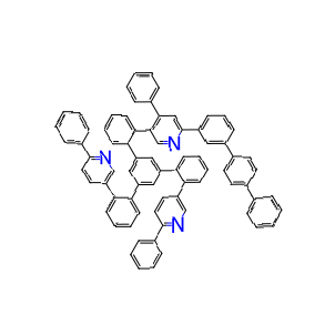 c1ccc(-c2ccc(-c3cccc(-c4cc(-c5ccccc5)c(-c5ccccc5-c5cc(-c6ccccc6-c6ccc(-c7ccccc7)nc6)cc(-c6ccccc6-c6ccc(-c7ccccc7)nc6)c5)cn4)c3)cc2)cc1